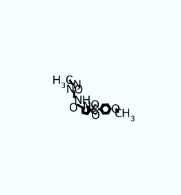 COc1ccc(S(=O)(=O)n2ccc(C(=O)NCc3nc(C)no3)n2)cc1